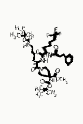 COC(=O)C1(NC(=O)OC(C)(C)C)CCN(C(=O)[C@@H](CCCCNC(=O)OC(C)(C)C)NC(=O)C(CCCCC(F)(F)F)NC(=O)CCc2ccccc2)CC1